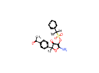 [2H]C([2H])(c1ccccc1)S(=O)(=O)OC1=C(N)O[C@]([2H])(c2ccc(C(C)=O)cc2)C1=O